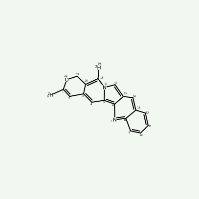 [2H]C1=Cc2cc3c4nc5ccccc5cc4cn3c([2H])c2CO1